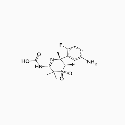 CC1(C)C(NC(=O)O)=N[C@](C)(c2cc(N)ccc2F)[C@@H](F)S1(=O)=O